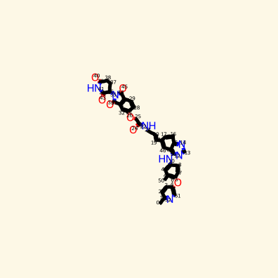 Cc1ccc(Oc2ccc(Nc3ncnc4ccc(C=CCNC(=O)COc5ccc6c(c5)C(=O)N(C5CCC(=O)NC5=O)C6=O)cc34)cc2C)cn1